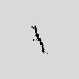 C=CC(=O)OCCCCOc1ccc(/C=N/c2ccc(/N=C/c3ccc(OCCCCOC(=O)C=C)cc3)c(C)c2)cc1